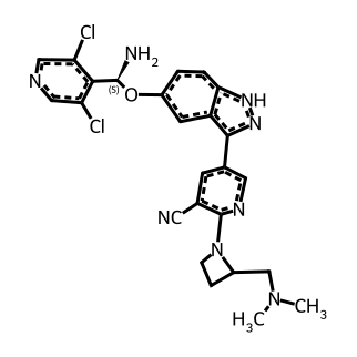 CN(C)CC1CCN1c1ncc(-c2n[nH]c3ccc(O[C@H](N)c4c(Cl)cncc4Cl)cc23)cc1C#N